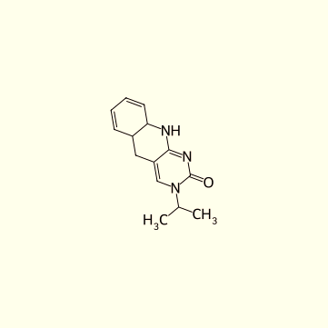 CC(C)n1cc2c(nc1=O)NC1C=CC=CC1C2